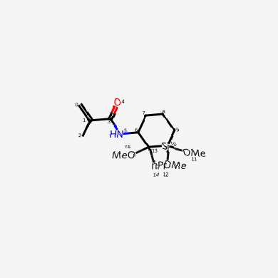 C=C(C)C(=O)NC1CCC[Si](OC)(OC)C1(CCC)OC